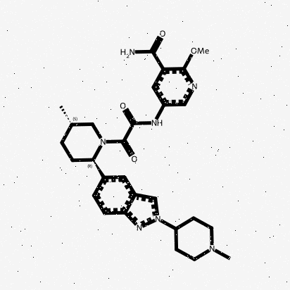 COc1ncc(NC(=O)C(=O)N2C[C@@H](C)CC[C@@H]2c2ccc3nn(C4CCN(C)CC4)cc3c2)cc1C(N)=O